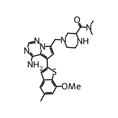 COc1cc(C)cc2cc(-c3cc(CN4CCNC(C(=O)N(C)C)C4)n4ncnc(N)c34)sc12